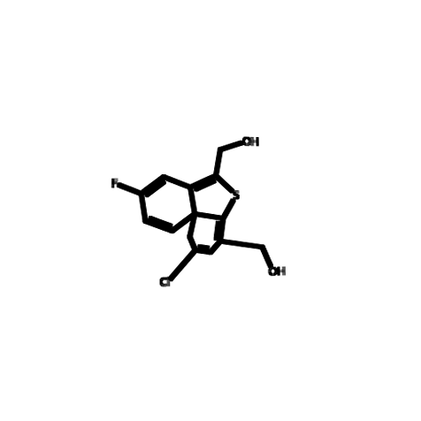 OCC1=C2SC(CO)=C3C=C(F)C=CC32CC(Cl)=C1